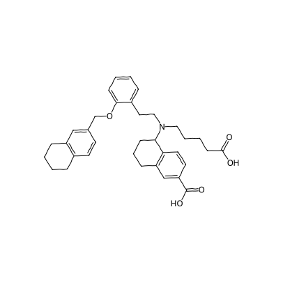 O=C(O)CCCCN(CCc1ccccc1OCc1ccc2c(c1)CCCC2)C1CCCc2cc(C(=O)O)ccc21